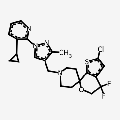 Cc1nn(-c2ncccc2C2CC2)cc1CN1CCC2(CC1)OCC(F)(F)c1cc(Cl)sc12